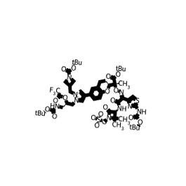 CC(C)(C)OC(=O)NC[C@@H](Cn1cc(-c2ccc3c(c2)CC[C@H]([C@](C)(O/N=C(\C(=O)N[C@@H]2C(=O)N(OS(=O)(=O)[O-])C2(C)C)c2csc(NC(=O)OC(C)(C)C)n2)C(=O)OC(C)(C)C)O3)c[n+]1CC1CN(C(=O)OC(C)(C)C)C1)OC(=O)C(F)(F)F